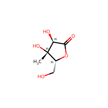 C[C@]1(O)[C@@H](CO)OC(=O)[C@@H]1O